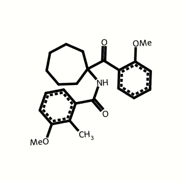 COc1ccccc1C(=O)C1(NC(=O)c2cccc(OC)c2C)CCCCCC1